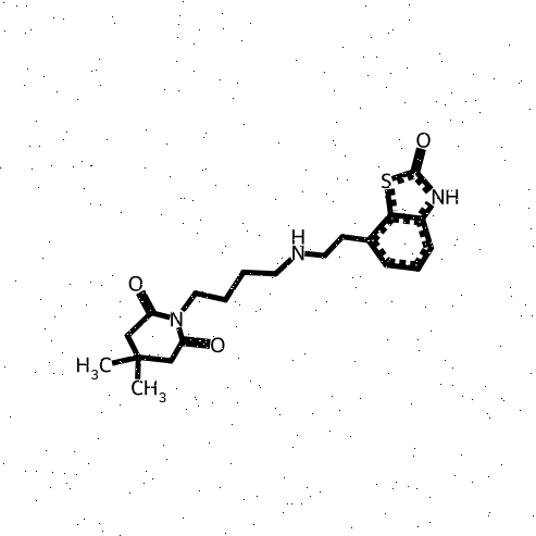 CC1(C)CC(=O)N(CCCCNCCc2cccc3[nH]c(=O)sc23)C(=O)C1